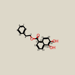 O=C(OCCc1ccccc1)c1cccc2c(O)c(O)ccc12